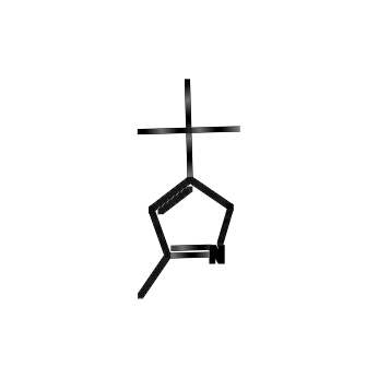 CC1=NCC(C(C)(C)C)=C1